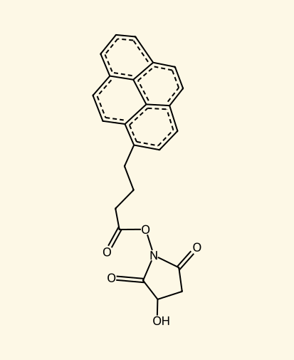 O=C(CCCc1ccc2ccc3cccc4ccc1c2c34)ON1C(=O)CC(O)C1=O